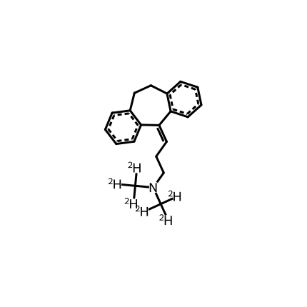 [2H]C([2H])([2H])N(CCC=C1c2ccccc2CCc2ccccc21)C([2H])([2H])[2H]